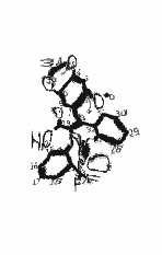 COc1cc2c(cc1C1=C(C(=O)O)N(c3ccccc3C(F)(F)F)S(=O)(=O)c3ccccc31)OCO2